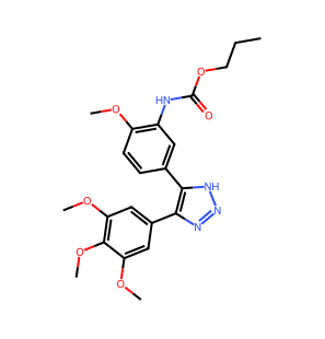 CCCOC(=O)Nc1cc(-c2[nH]nnc2-c2cc(OC)c(OC)c(OC)c2)ccc1OC